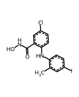 Cc1cc(I)ccc1Nc1ccc(Cl)cc1C(=O)NO